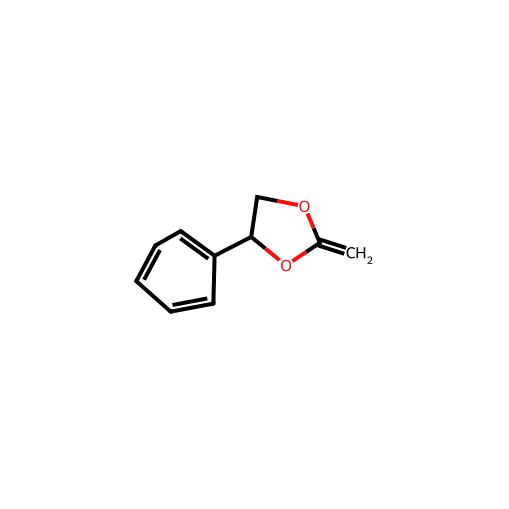 C=C1OCC(c2ccccc2)O1